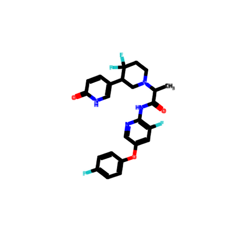 CC(C(=O)Nc1ncc(Oc2ccc(F)cc2)cc1F)N1CCC(F)(F)C(c2ccc(=O)[nH]c2)C1